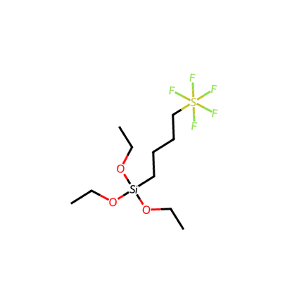 CCO[Si](CCCCS(F)(F)(F)(F)F)(OCC)OCC